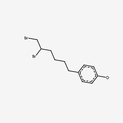 [O]c1ccc(CCCCC(Br)CBr)cc1